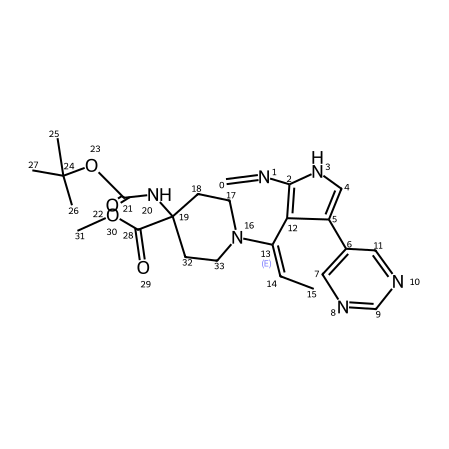 C=Nc1[nH]cc(-c2cncnc2)c1/C(=C\C)N1CCC(NC(=O)OC(C)(C)C)(C(=O)OC)CC1